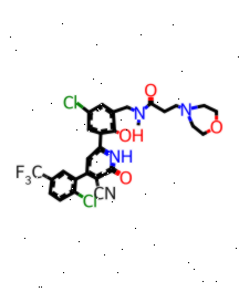 CN(Cc1cc(Cl)cc(-c2cc(-c3cc(C(F)(F)F)ccc3Cl)c(C#N)c(=O)[nH]2)c1O)C(=O)CCN1CCOCC1